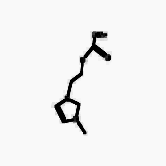 COC(=O)OCCN1C=CN(C)C1